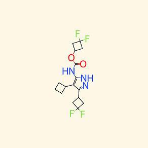 O=C(Nc1[nH]nc(C2CC(F)(F)C2)c1C1CCC1)OC1CC(F)(F)C1